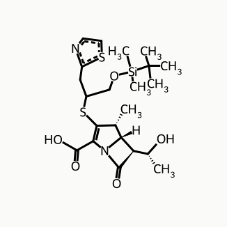 C[C@@H](O)[C@H]1C(=O)N2C(C(=O)O)=C(SC(CO[Si](C)(C)C(C)(C)C)Cc3nccs3)[C@H](C)[C@H]12